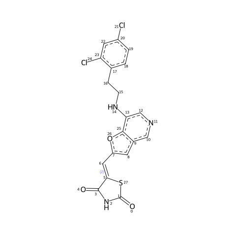 O=C1NC(=O)/C(=C/c2cc3cncc(NCCc4ccc(Cl)cc4Cl)c3o2)S1